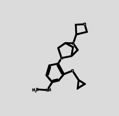 BNc1ccc(N2CC3CC2CN3C2COC2)c(OC2CC2)c1